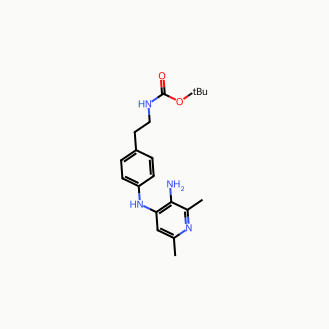 Cc1cc(Nc2ccc(CCNC(=O)OC(C)(C)C)cc2)c(N)c(C)n1